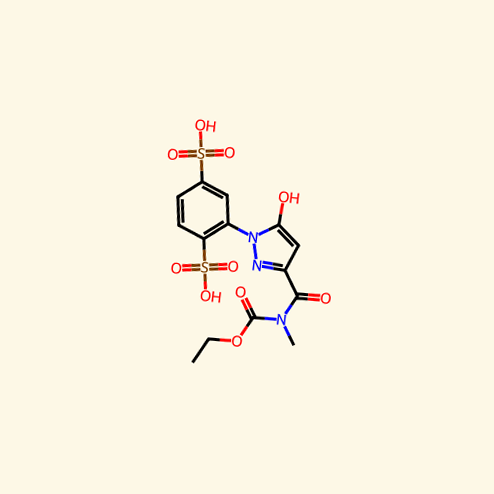 CCOC(=O)N(C)C(=O)c1cc(O)n(-c2cc(S(=O)(=O)O)ccc2S(=O)(=O)O)n1